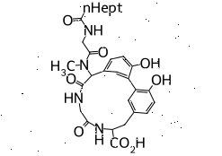 CCCCCCCC(=O)NCC(=O)N(C)C1C(=O)NCC(=O)NC(C(=O)O)Cc2ccc(O)c(c2)-c2cc1ccc2O